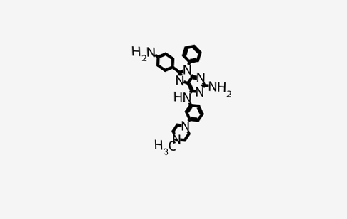 CN1CCN(c2cccc(Nc3nc(N)nc4c3nc(C3CCC(N)CC3)n4-c3ccccc3)c2)CC1